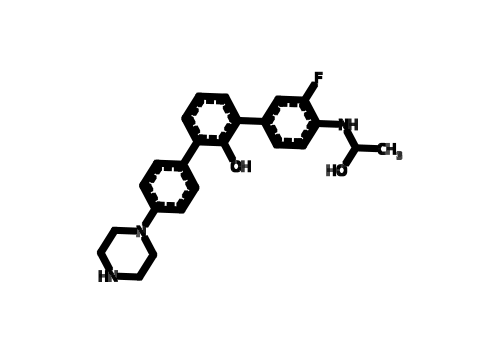 CC(O)Nc1ccc(-c2cccc(-c3ccc(N4CCNCC4)cc3)c2O)cc1F